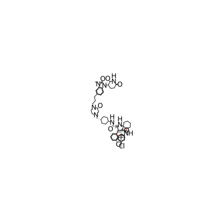 Cn1c(=O)n(C2CCC(=O)NC2=O)c2ccc(CCCN3CCN(C[C@H]4CC[C@H](NC(=O)[C@@H]5NC6(CCCCC6)[C@@]6(C(=O)Nc7cc(Cl)ccc76)[C@H]5c5cccc(Cl)c5F)CC4)CC3=O)cc21